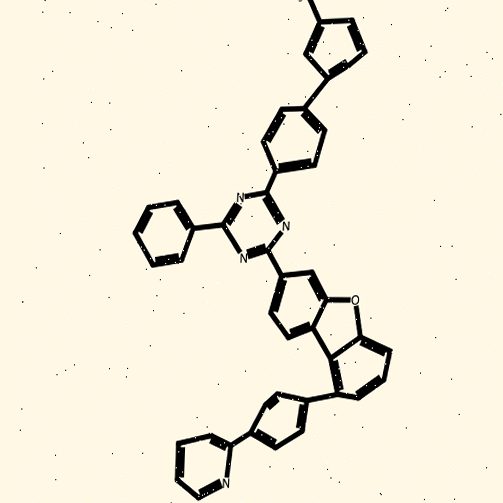 Cc1cccc(-c2ccc(-c3nc(-c4ccccc4)nc(-c4ccc5c(c4)oc4cccc(-c6ccc(-c7ccccn7)cc6)c45)n3)cc2)c1